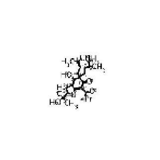 CC(C)=CCC1(CC=C(C)C)C(=O)C(C(=O)C(C)C)=C2OC(C(C)(C)O)CC2=C1O